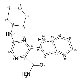 NC(=O)c1ncc(NC2CCOCC2)nc1-c1cc2ncccc2[nH]1